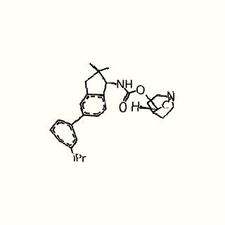 CC(C)c1cccc(-c2ccc3c(c2)CC(C)(C)[C@H]3NC(=O)O[C@@H]2CN3CCC2CC3)c1